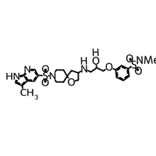 CNS(=O)(=O)c1cccc(OCC(O)CNC2COC3(CCN(S(=O)(=O)c4cnc5[nH]cc(C)c5c4)CC3)C2)c1